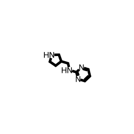 c1cnc(NCC2CCNC2)nc1